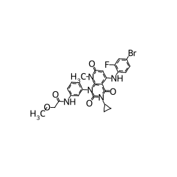 COCC(=O)Nc1cccc(-n2c(=O)n(C3CC3)c(=O)c3c(Nc4ccc(Br)cc4F)cc(=O)n(C)c32)c1